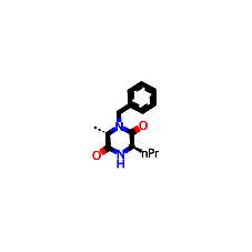 CCC[C@H]1NC(=O)[C@H](C)N(Cc2ccccc2)C1=O